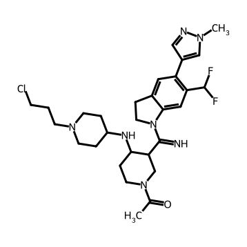 CC(=O)N1CCC(NC2CCN(CCCCl)CC2)C(C(=N)N2CCc3cc(-c4cnn(C)c4)c(C(F)F)cc32)C1